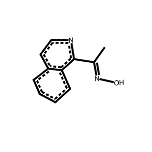 CC(=NO)c1nccc2ccccc12